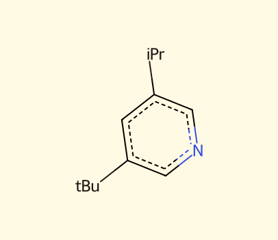 CC(C)c1cncc(C(C)(C)C)c1